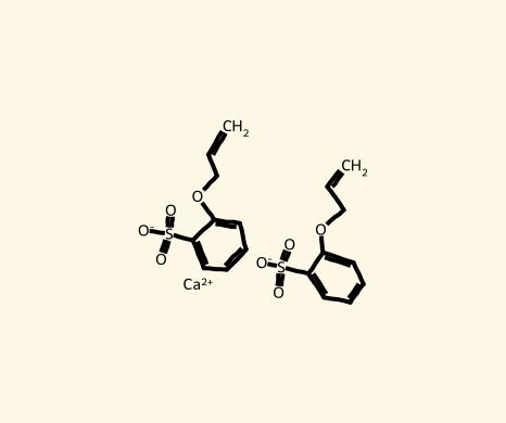 C=CCOc1ccccc1S(=O)(=O)[O-].C=CCOc1ccccc1S(=O)(=O)[O-].[Ca+2]